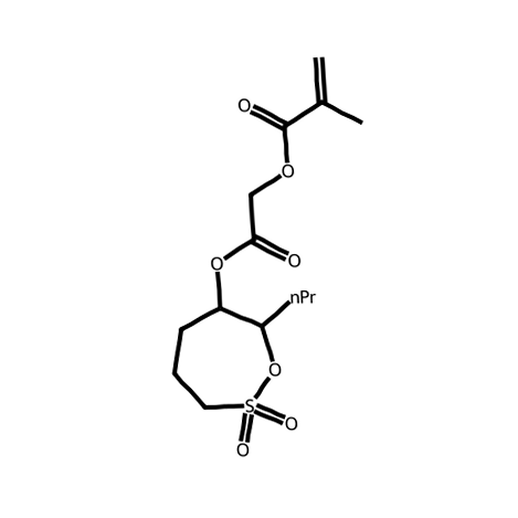 C=C(C)C(=O)OCC(=O)OC1CCCS(=O)(=O)OC1CCC